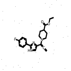 C=C=C(c1c[nH]c(-c2ccc(F)cc2)n1)N1CCC(C(=O)OCC)CC1